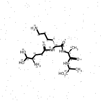 C[C@H](NC(=O)[C@H](C)NC(=O)[C@@H](CCCCN)NC(=O)CC[C@@H](N)C(O)O)C(=O)O